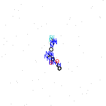 COc1cc(-c2nn([C@H]3CC[C@H](N4CCn5c(nnc5C(F)(F)F)C4)CC3)c3ncnc(N)c23)ccc1NC(=O)c1cc2ccccc2n1C